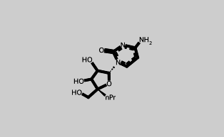 CCC[C@]1(CO)O[C@@H](n2ccc(N)nc2=O)C(O)C1O